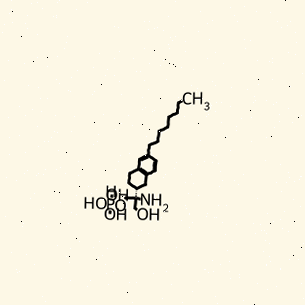 CCCCCCCCc1ccc2c(c1)CC[C@@H](C(N)(CO)CO[PH](O)(O)O)C2